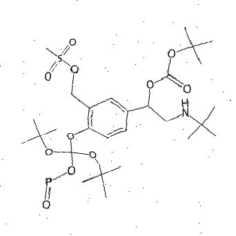 CC(C)(C)NCC(OC(=O)OC(C)(C)C)c1ccc(OC(OP=O)(OC(C)(C)C)OC(C)(C)C)c(COS(C)(=O)=O)c1